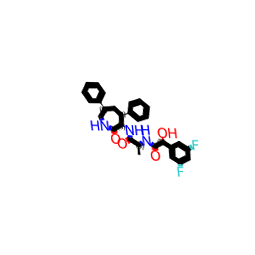 C[C@H](NC(=O)[C@H](O)c1cc(F)cc(F)c1)C(=O)N[C@@H]1C(=O)NC[C@H](c2ccccc2)C[C@@H]1c1ccccc1